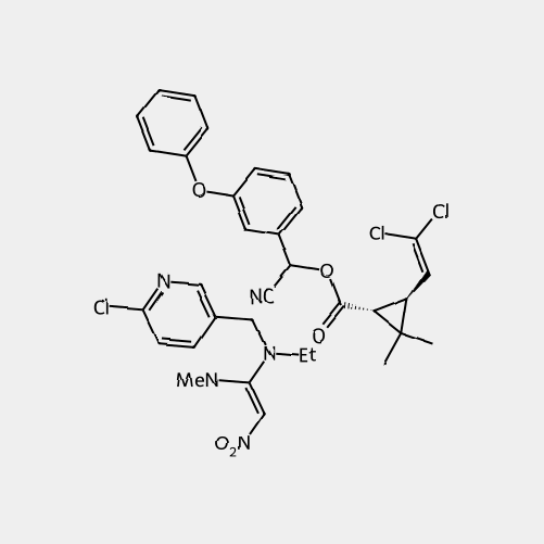 CC1(C)[C@H](C=C(Cl)Cl)[C@H]1C(=O)OC(C#N)c1cccc(Oc2ccccc2)c1.CCN(Cc1ccc(Cl)nc1)/C(=C/[N+](=O)[O-])NC